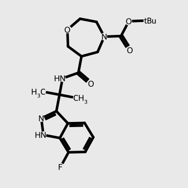 CC(C)(C)OC(=O)N1CCOCC(C(=O)NC(C)(C)c2n[nH]c3c(F)cccc23)C1